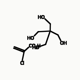 C=C(Cl)C(=O)O.OCC(CO)(CO)CO